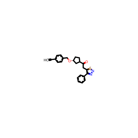 C#Cc1ccc(CO[C@@H]2CCC(C(=O)Cc3snnc3-c3ccccc3)C2)cc1